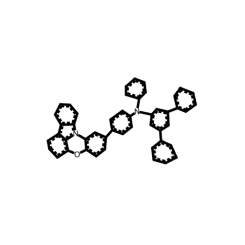 c1ccc(-c2cc(-c3ccccc3)cc(N(c3ccccc3)c3ccc(-c4ccc5c(c4)-n4c6ccccc6c6cccc(c64)O5)cc3)c2)cc1